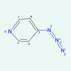 [N-]=[N+]=Nc1ccncc1